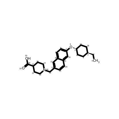 CC[C@H]1CC[C@H](Oc2ccc3cc(CN4CCC(C(=O)O)CC4)ccc3c2)CC1